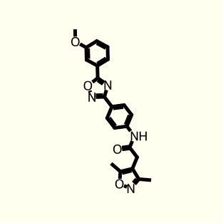 COc1cccc(-c2nc(-c3ccc(NC(=O)Cc4c(C)noc4C)cc3)no2)c1